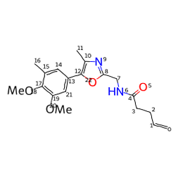 C=CCCC(=O)NCc1nc(C)c(-c2cc(C)c(OC)c(OC)c2)o1